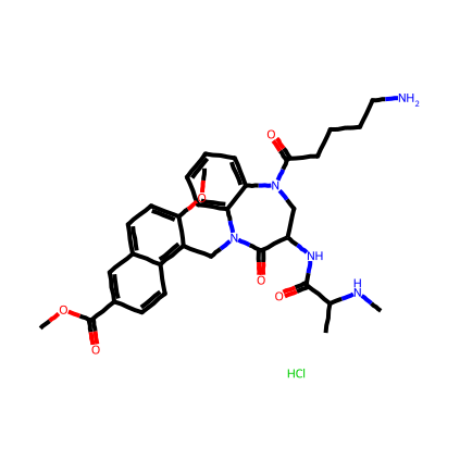 CNC(C)C(=O)NC1CN(C(=O)CCCCN)c2ccccc2N(Cc2c(OC)ccc3cc(C(=O)OC)ccc23)C1=O.Cl